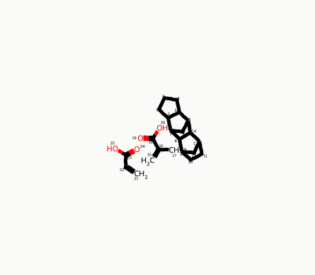 C1CC2C(C1)C1CC2C2C3CCC(C3)C12.C=C(C)C(=O)O.C=CC(=O)O